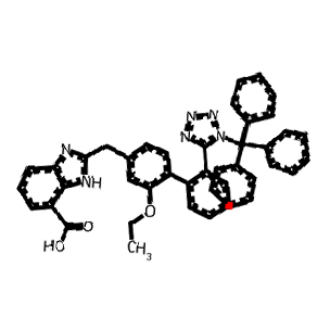 CCOc1cc(Cc2nc3cccc(C(=O)O)c3[nH]2)ccc1-c1ccccc1-c1nnnn1C(c1ccccc1)(c1ccccc1)c1ccccc1